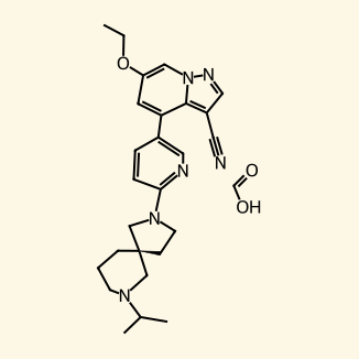 CCOc1cc(-c2ccc(N3CC[C@@]4(CCCN(C(C)C)C4)C3)nc2)c2c(C#N)cnn2c1.O=CO